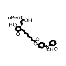 CCCCCC(O)C=C[C@H]1C(O)CC(=O)C1CC=CCCCC(=O)Oc1ccc(N(C=O)c2ccccc2)cc1